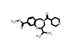 COC(=O)c1ccc2c(c1)OC(C(C)C)CN(C(=O)C1CCOCC1)C2